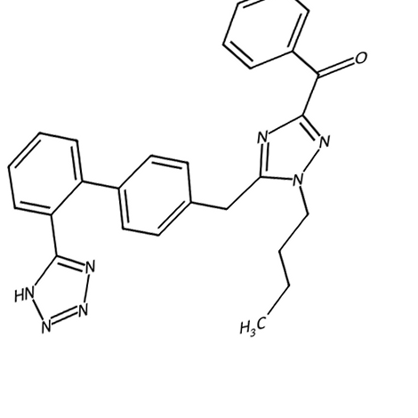 CCCCn1nc(C(=O)c2ccccc2)nc1Cc1ccc(-c2ccccc2-c2nnn[nH]2)cc1